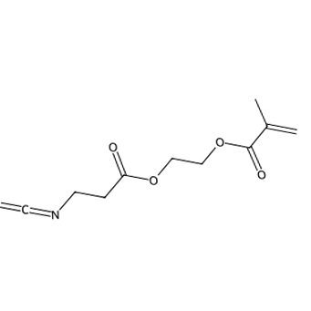 C=C(C)C(=O)OCCOC(=O)CCN=C=O